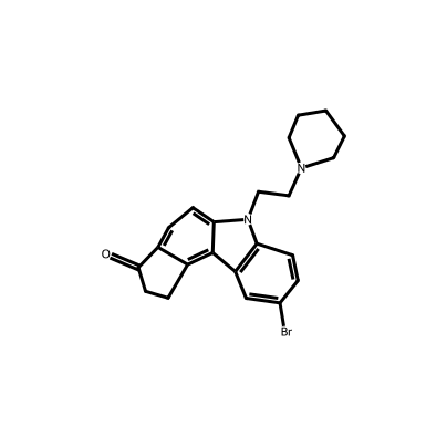 O=C1CCc2c1ccc1c2c2cc(Br)ccc2n1CCN1CCCCC1